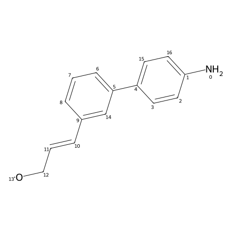 Nc1ccc(-c2cccc(C=CC[O])c2)cc1